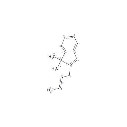 C/C=C/CC1=Cc2ccccc2C1(C)C